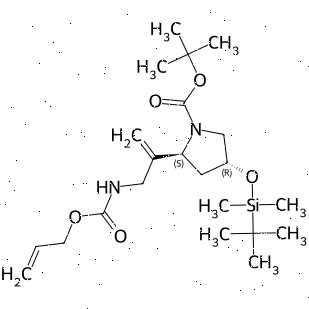 C=CCOC(=O)NCC(=C)[C@@H]1C[C@@H](O[Si](C)(C)C(C)(C)C)CN1C(=O)OC(C)(C)C